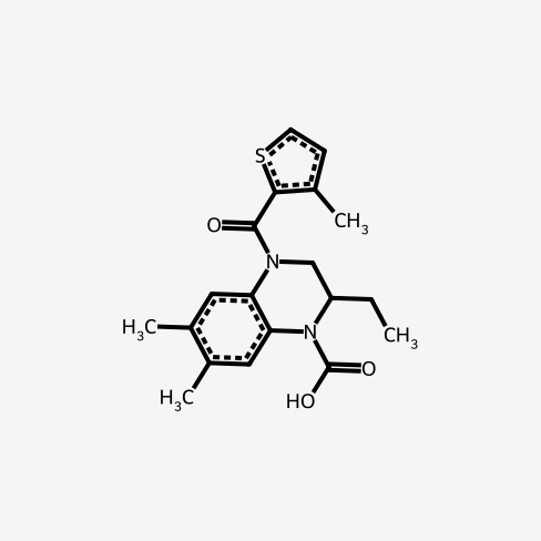 CCC1CN(C(=O)c2sccc2C)c2cc(C)c(C)cc2N1C(=O)O